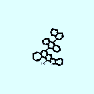 Oc1c2oc3ccccc3c2cc2c(-c3c4ccccc4c(-c4cccc5ccccc45)c4ccccc34)cc3c(c12)C#CCC=C3